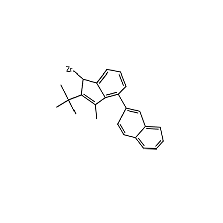 CC1=C(C(C)(C)C)[CH]([Zr])c2cccc(-c3ccc4ccccc4c3)c21